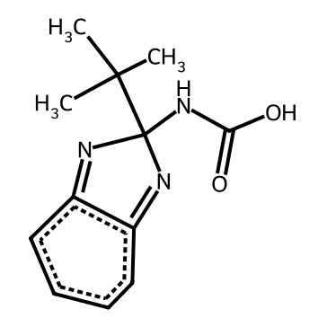 CC(C)(C)C1(NC(=O)O)N=c2ccccc2=N1